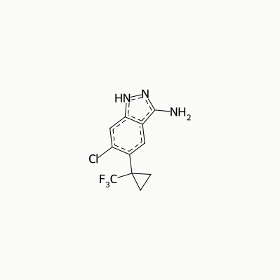 Nc1n[nH]c2cc(Cl)c(C3(C(F)(F)F)CC3)cc12